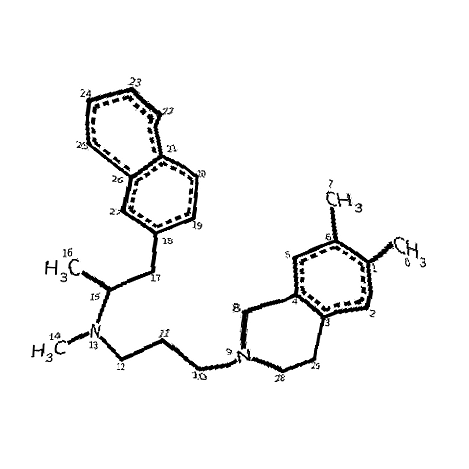 Cc1cc2c(cc1C)CN(CCCN(C)C(C)Cc1ccc3ccccc3c1)CC2